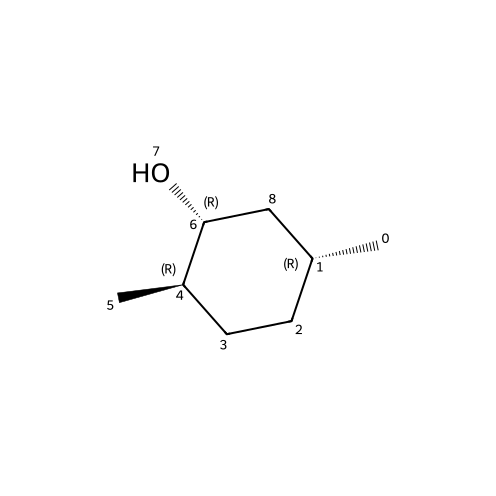 C[C@@H]1CC[C@@H](C)[C@H](O)C1